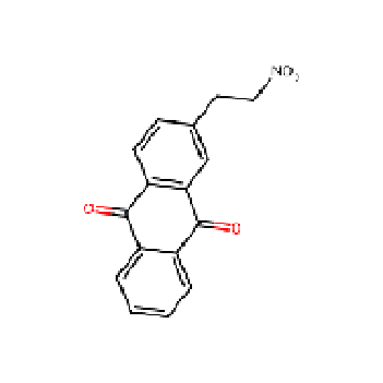 O=C1c2ccccc2C(=O)c2cc(CC[N+](=O)[O-])ccc21